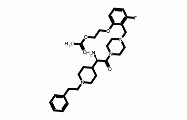 CC(=O)OCCOc1cccc(F)c1CN1CCN(C(=O)[C@H](N)C2CCN(CCc3ccccc3)CC2)CC1